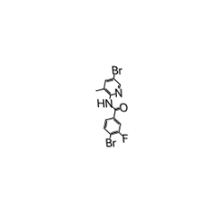 Cc1cc(Br)cnc1NC(=O)c1ccc(Br)c(F)c1